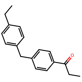 CCC(=O)c1ccc(Cc2ccc(CC)cc2)cc1